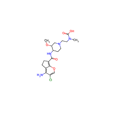 COC1CN(CCN(C)C(=O)O)CCC1NC(=O)C1=C2OC=C(Cl)C(N)=C2CC1